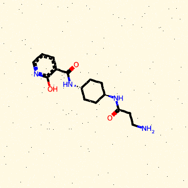 NCCC(=O)N[C@H]1CC[C@H](NC(=O)c2cccnc2O)CC1